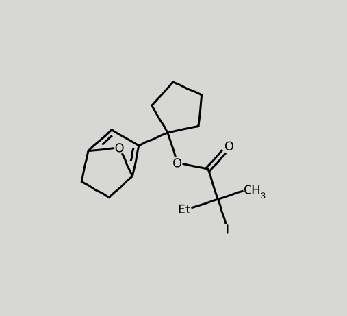 CCC(C)(I)C(=O)OC1(c2cc3oc2CC3)CCCC1